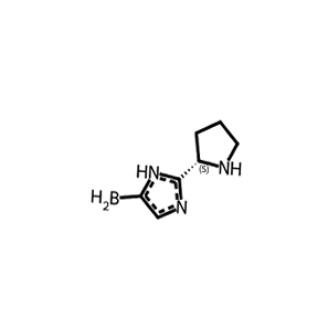 Bc1cnc([C@@H]2CCCN2)[nH]1